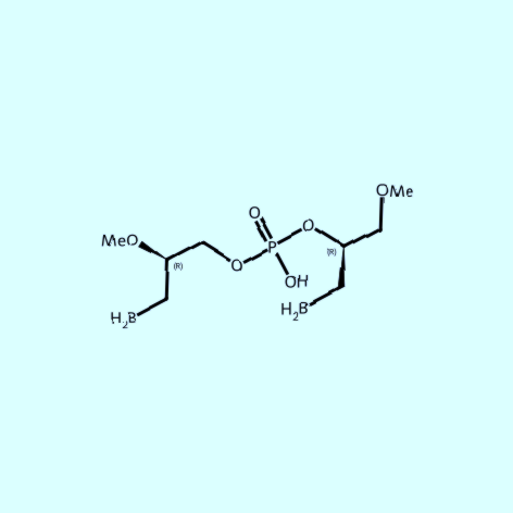 BC[C@H](COP(=O)(O)O[C@H](CB)COC)OC